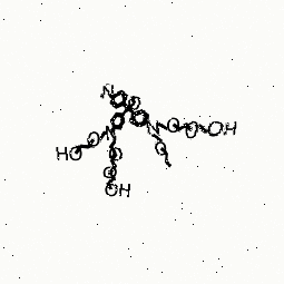 CCCOCCN(CCOCCOCCO)c1ccc(C(OC)(c2ccc(N(C)C)cc2)c2ccc(N(CCOCCO)CCOCCOCCO)cc2)cc1